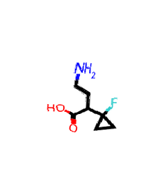 NCCC(C(=O)O)C1(F)CC1